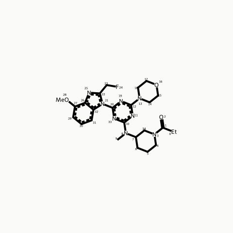 CCC(=O)N1CCCC(N(C)c2nc(N3CCOCC3)nc(-n3c(CF)nc4c(OC)cccc43)n2)C1